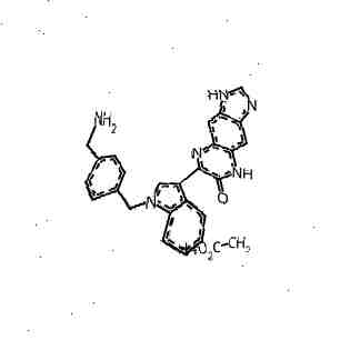 CC(=O)O.NCc1ccc(Cn2cc(-c3nc4cc5[nH]cnc5cc4[nH]c3=O)c3ccccc32)cc1